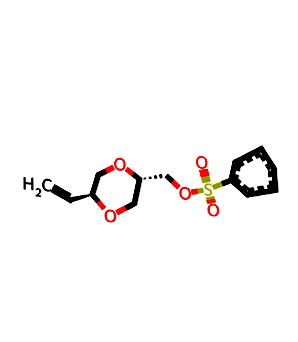 C=C[C@H]1CO[C@H](COS(=O)(=O)c2ccccc2)CO1